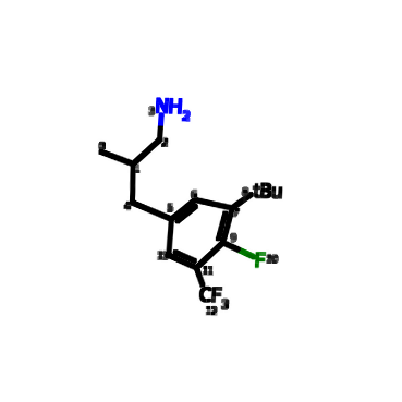 CC(CN)Cc1cc(C(C)(C)C)c(F)c(C(F)(F)F)c1